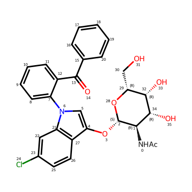 CC(=O)N[C@H]1[C@H](Oc2cn(-c3ccccc3C(=O)c3ccccc3)c3cc(Cl)ccc23)O[C@H](CO)[C@H](O)[C@@H]1O